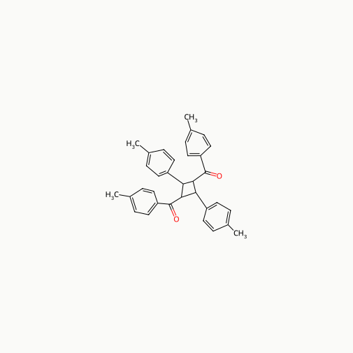 Cc1ccc(C(=O)C2C(c3ccc(C)cc3)C(C(=O)c3ccc(C)cc3)C2c2ccc(C)cc2)cc1